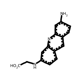 Nc1ccc2cc3ccc(NCC(=O)O)cc3nc2c1